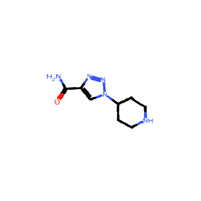 NC(=O)c1cn(C2CCNCC2)nn1